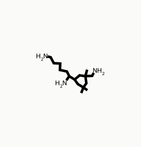 CC1(C)CC(C(N)CCCCCN)CC(C)(CN)C1